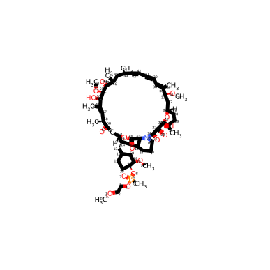 COCCOP(C)(=O)O[C@@H]1CCC(C[C@H]2C3CCCN4C(=O)C(=O)C5(O)O[C@@H](CCC5C)C[C@H](OC)/C(C)=C/C=C/C=C/[C@@H](C)CC(C)C(=O)[C@H](OC)C(O)/C(C)=C/[C@@H](C)C(=O)C[C@@H]2OC(=O)C34)CC1OC